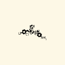 Nc1ccc(S(=O)(=O)C[C@@H]2CO[C@](CCc3ccc(Cl)cc3Cl)(Cn3ccnc3)O2)cc1